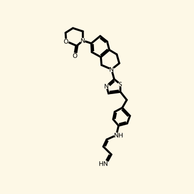 N=C/C=C\Nc1ccc(Cc2cnc(N3CCc4ccc(N5CCCOC5=O)cc4C3)s2)cc1